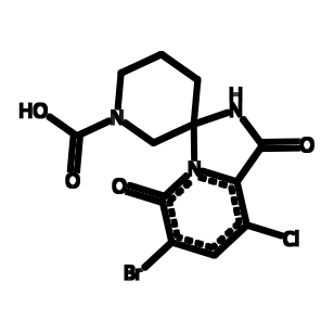 O=C1NC2(CCCN(C(=O)O)C2)n2c1c(Cl)cc(Br)c2=O